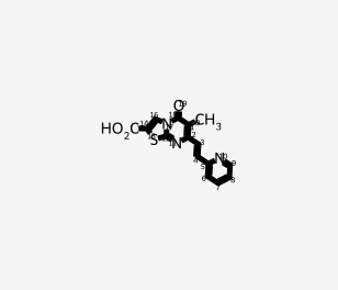 Cc1c(/C=C/c2ccccn2)nc2sc(C(=O)O)cn2c1=O